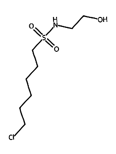 O=S(=O)(CCCCCCCl)NCCO